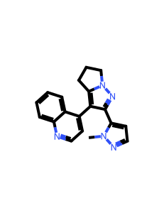 Cn1nccc1-c1nn2c(c1-c1ccnc3ccccc13)CCC2